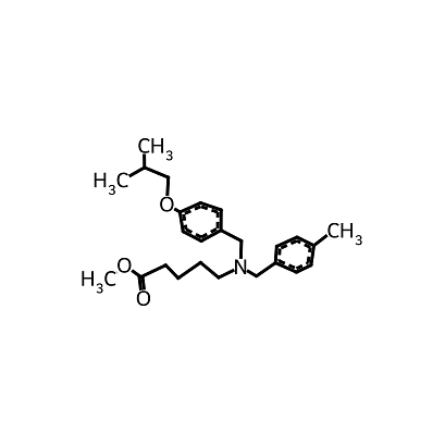 COC(=O)CCCCN(Cc1ccc(C)cc1)Cc1ccc(OCC(C)C)cc1